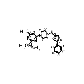 Cc1cc(N2CCN(Cc3cnc(-c4ccccc4)s3)CC2)nc(N(C)C)n1